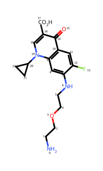 NCCOCCNc1cc2c(cc1F)c(=O)c(C(=O)O)cn2C1CC1